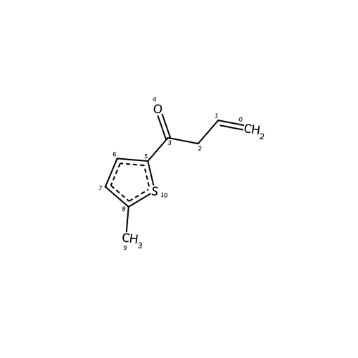 C=CCC(=O)c1ccc(C)s1